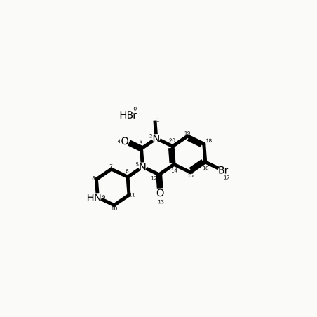 Br.Cn1c(=O)n(C2CCNCC2)c(=O)c2cc(Br)ccc21